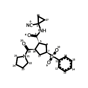 N#CC1(NC(=O)[C@@H]2C[C@@H](S(=O)(=O)c3ccccc3)C[C@H]2C(=O)N2CCCC2)CC1